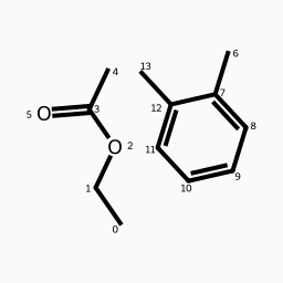 CCOC(C)=O.Cc1ccccc1C